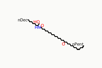 CCCCC/C=C\C/C=C\CCCCCCCC(=O)CCCCCCCCCCCCCCC(=O)NC(CO)CCCCCCCCCCCCCCCC